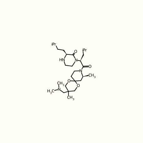 CC(C)CC[C@@H]1NCCN([C@@H](CC(C)C)C(=O)N2CCC3(C[C@@H]2C)OCC(C)(CN(C)C)CO3)C1=O